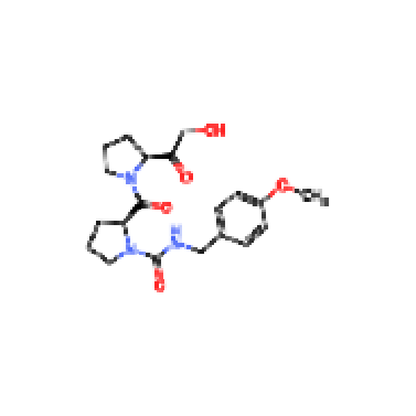 COc1ccc(CNC(=O)N2CCC[C@H]2C(=O)N2CCC[C@H]2C(=O)CO)cc1